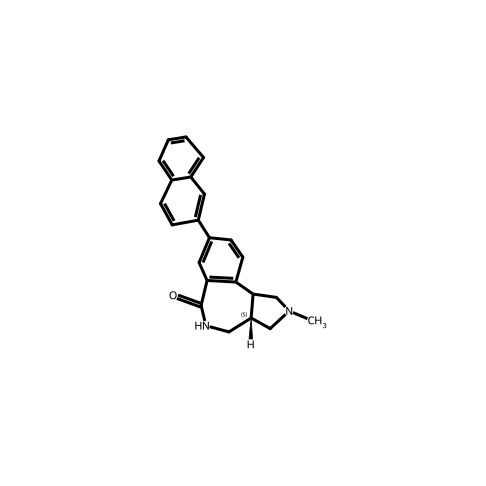 CN1CC2c3ccc(-c4ccc5ccccc5c4)cc3C(=O)NC[C@H]2C1